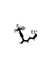 CC/C=C\CCC(C)C#CC(F)(F)Br